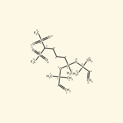 C=C[Si](C)(C)O[Si](C)(CCCC(S(=O)(=O)C(F)(F)F)S(=O)(=O)C(F)(F)F)O[Si](C)(C)C=C